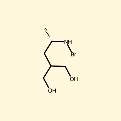 C[C@@H](CC(CO)CO)NBr